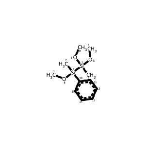 CO[Si](C)(OC)[Si](C)(OC)c1ccccc1